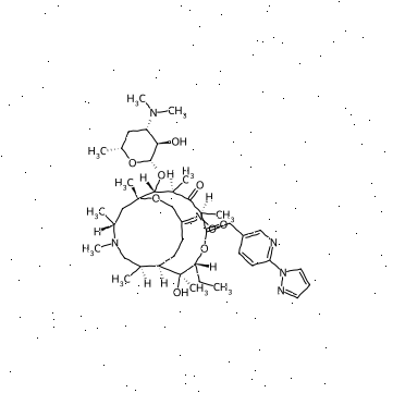 CC[C@H]1OC(=O)[C@H](C)C(=O)[C@H](C)[C@@H](O[C@@H]2O[C@H](C)C[C@H](N(C)C)[C@H]2O)[C@@]2(C)C[C@@H](C)N(C)C[C@H](C)[C@@H](CC/C(=N\OCc3ccc(-n4cccn4)nc3)CO2)[C@]1(C)O